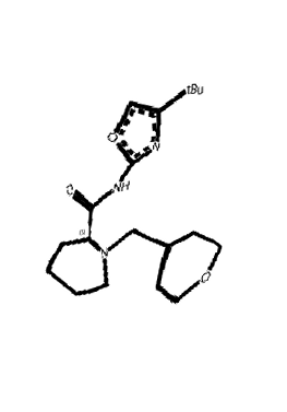 CC(C)(C)c1coc(NC(=O)[C@@H]2CCCCN2CC2CCOCC2)n1